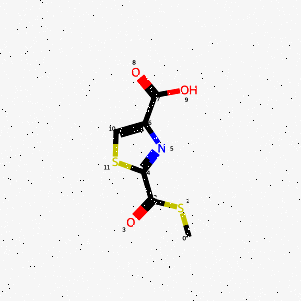 CSC(=O)c1nc(C(=O)O)cs1